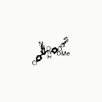 COc1cc(NC(=O)c2cc(-c3ccc(Cl)cc3)cn2N=CN(C)C)ccc1OCOCC[Si](C)(C)C